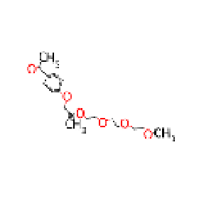 COCCOCCOCCO[C@@H](C)COc1ccc(C(C)=O)cc1